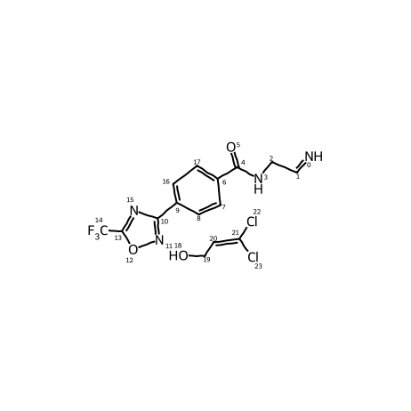 N=CCNC(=O)c1ccc(-c2noc(C(F)(F)F)n2)cc1.OCC=C(Cl)Cl